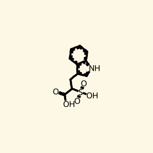 O=C(O)C(Cc1c[nH]c2ccccc12)S(=O)(=O)O